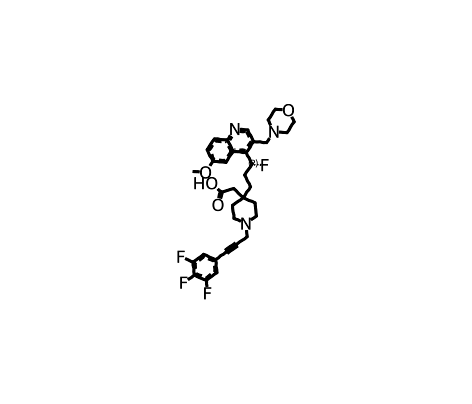 COc1ccc2ncc(CN3CCOCC3)c([C@H](F)CCC3(CC(=O)O)CCN(CC#Cc4cc(F)c(F)c(F)c4)CC3)c2c1